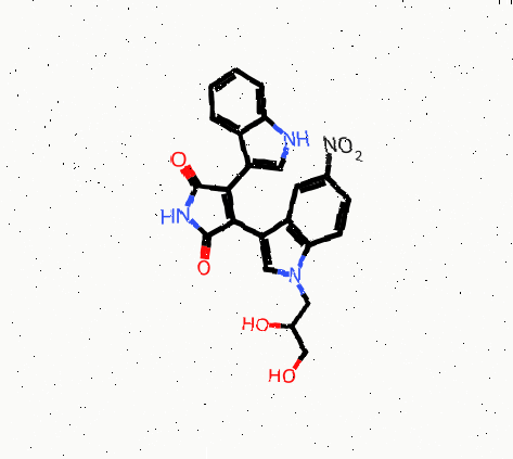 O=C1NC(=O)C(c2cn(CC(O)CO)c3ccc([N+](=O)[O-])cc23)=C1c1c[nH]c2ccccc12